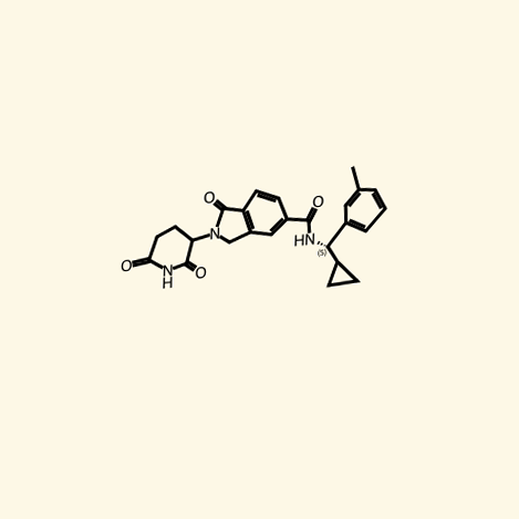 Cc1cccc([C@@H](NC(=O)c2ccc3c(c2)CN(C2CCC(=O)NC2=O)C3=O)C2CC2)c1